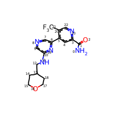 NC(=O)c1cc(-c2cncc(NCC3CCOCC3)n2)c(C(F)(F)F)cn1